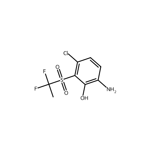 CC(F)(F)S(=O)(=O)c1c(Cl)ccc(N)c1O